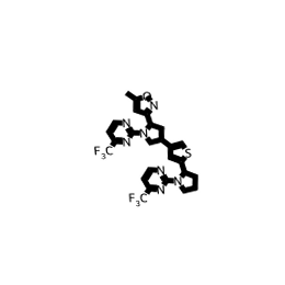 Cc1cc(C2CC(c3csc(C4CCCN4c4nccc(C(F)(F)F)n4)c3)CN2c2nccc(C(F)(F)F)n2)no1